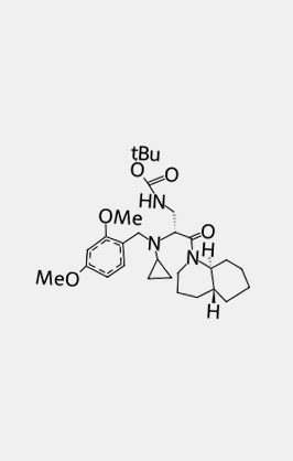 COc1ccc(CN(C2CC2)[C@H](CNC(=O)OC(C)(C)C)C(=O)N2CCC[C@H]3CCCC[C@@H]32)c(OC)c1